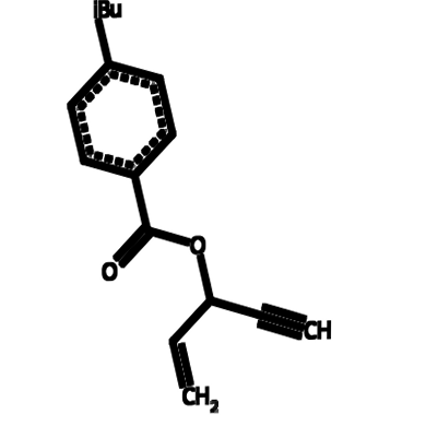 C#CC(C=C)OC(=O)c1ccc(C(C)CC)cc1